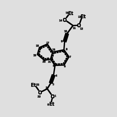 CCOC(C#Cc1ccc(C#CC(OCC)OCC)c2ccccc12)OCC